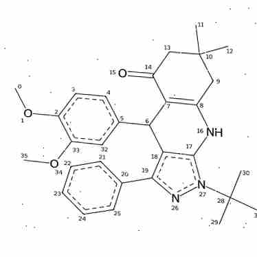 COc1ccc(C2C3=C(CC(C)(C)CC3=O)Nc3c2c(-c2ccccc2)nn3C(C)(C)C)cc1OC